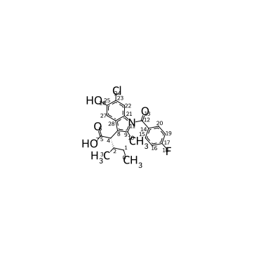 CCC(C)[C@H](C(=O)O)c1c(C)n(C(=O)c2ccc(F)cc2)c2cc(Cl)c(O)cc12